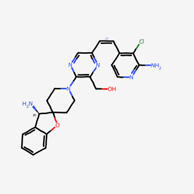 Nc1nccc(/C=C\c2cnc(N3CCC4(CC3)Oc3ccccc3[C@H]4N)c(CO)n2)c1Cl